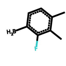 Bc1ccc(C)c(C)c1F